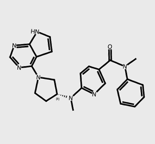 CN(C(=O)c1ccc(N(C)[C@@H]2CCN(c3ncnc4[nH]ccc34)C2)nc1)c1ccccc1